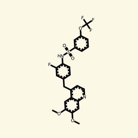 COc1cc2nccc(Cc3ccc(NS(=O)(=O)c4cccc(OC(F)(F)F)c4)c(F)c3)c2cc1OC